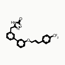 O=c1[nH]c(Cc2cccc(-c3cccc(OCC=Cc4ccc(C(F)(F)F)cc4)c3)c2)ns1